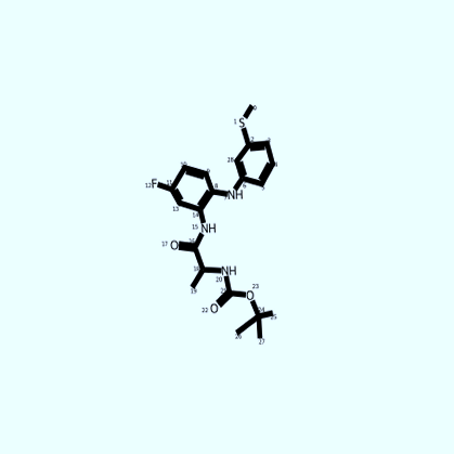 CSc1cccc(Nc2ccc(F)cc2NC(=O)C(C)NC(=O)OC(C)(C)C)c1